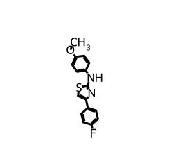 COc1ccc(Nc2nc(-c3ccc(F)cc3)cs2)cc1